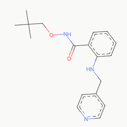 CC(C)(C)CONC(=O)c1ccccc1NCc1ccncc1